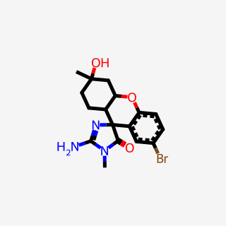 CN1C(=O)C2(N=C1N)c1cc(Br)ccc1OC1CC(C)(O)CCC12